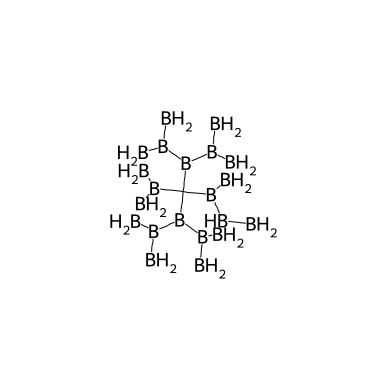 BBB(B)C(B(B)B)(B(B(B)B)B(B)B)B(B(B)B)B(B)B